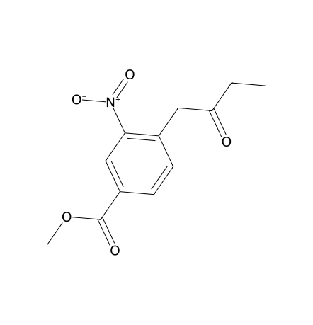 CCC(=O)Cc1ccc(C(=O)OC)cc1[N+](=O)[O-]